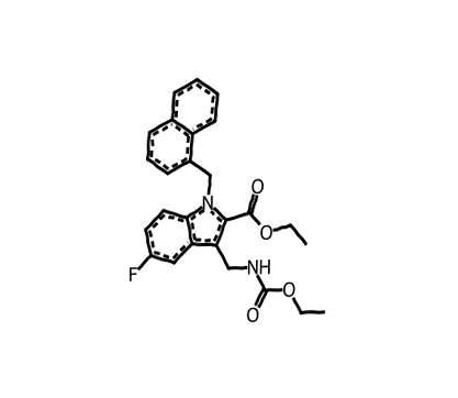 CCOC(=O)NCc1c(C(=O)OCC)n(Cc2cccc3ccccc23)c2ccc(F)cc12